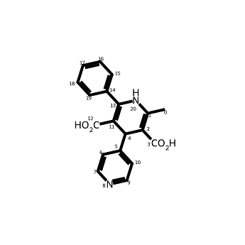 CC1=C(C(=O)O)C(c2ccncc2)C(C(=O)O)=C(c2ccccc2)N1